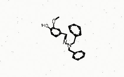 COc1cc(/C=N/N(Cc2ccccc2)Cc2ccccc2)ccc1O